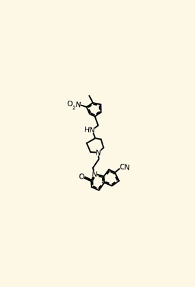 Cc1ccc(CNC2CCN(CCn3c(=O)ccc4ccc(C#N)cc43)CC2)cc1[N+](=O)[O-]